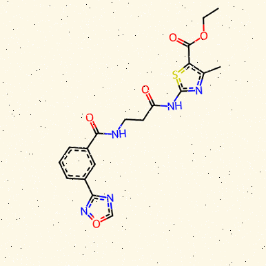 CCOC(=O)c1sc(NC(=O)CCNC(=O)c2cccc(-c3ncon3)c2)nc1C